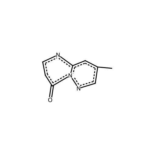 Cc1cnn2c(=O)ccnc2c1